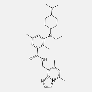 CCN(c1cc(C)cc(C(=O)NCc2c(C)cc(C)n3ccnc23)c1C)C1CCC(N(C)C)CC1